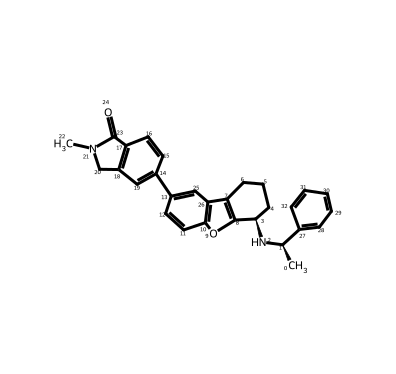 C[C@@H](N[C@@H]1CCCc2c1oc1ccc(-c3ccc4c(c3)CN(C)C4=O)cc21)c1ccccc1